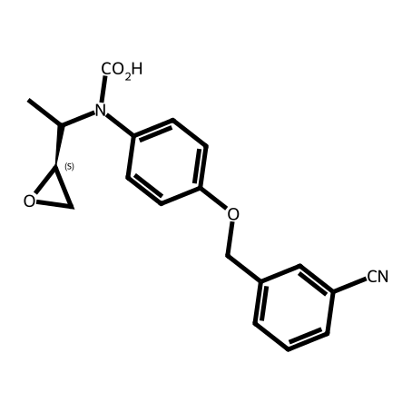 CC([C@H]1CO1)N(C(=O)O)c1ccc(OCc2cccc(C#N)c2)cc1